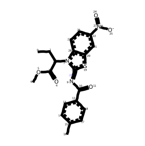 CCC(C(=O)OC)n1/c(=N/C(=O)c2ccc(C)cc2)sc2cc([N+](=O)[O-])ccc21